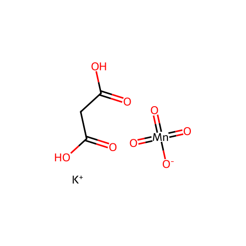 O=C(O)CC(=O)O.[K+].[O]=[Mn](=[O])(=[O])[O-]